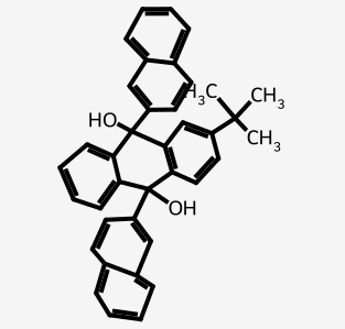 CC(C)(C)c1ccc2c(c1)C(O)(c1ccc3ccccc3c1)c1ccccc1C2(O)c1ccc2ccccc2c1